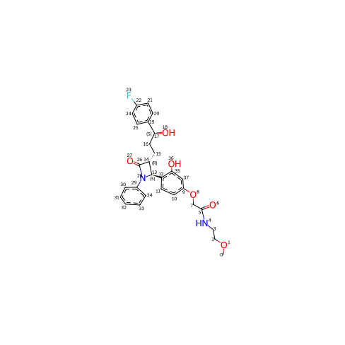 COCCNC(=O)COc1ccc([C@@H]2[C@@H](CC[C@H](O)c3ccc(F)cc3)C(=O)N2c2ccccc2)c(O)c1